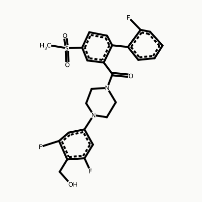 CS(=O)(=O)c1ccc(-c2ccccc2F)c(C(=O)N2CCN(c3cc(F)c(CO)c(F)c3)CC2)c1